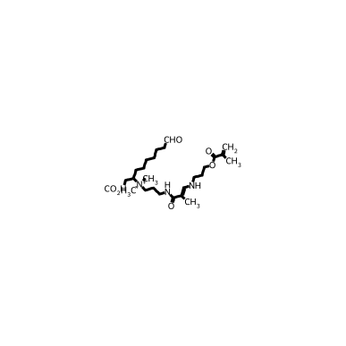 C=C(C)C(=O)OCCCNC=C(C)C(=O)NCCC[N+](C)(C)C(CCCCCCC=O)CC(=O)O